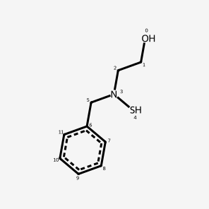 OCCN(S)Cc1ccccc1